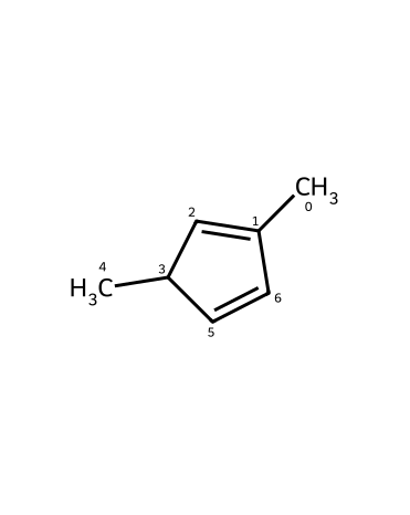 CC1=CC(C)C=C1